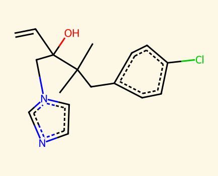 C=CC(O)(Cn1ccnc1)C(C)(C)Cc1ccc(Cl)cc1